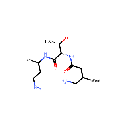 CCCCCC(CN)CC(=O)N[C@H](C(=O)N[C@@H](CCN)C(C)=O)[C@H](C)O